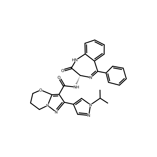 CC(C)n1cc(-c2nn3c(c2C(=O)N[C@H]2N=C(c4ccccc4)c4ccccc4NC2=O)OCCC3)cn1